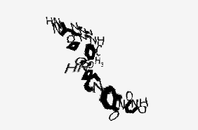 Cc1cc(S(=O)(=O)NC2CC3(CCN(c4ccc5c(c4)CN(C4CCC(=O)NC4=O)C5=O)CC3)C2)ccc1Nc1nc2c(OC3CCC3)c(-c3cn[nH]c3)ncn2n1